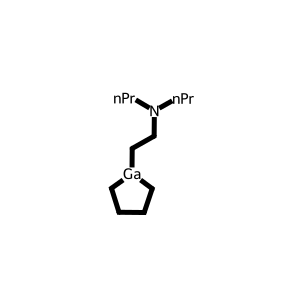 CCCN(CCC)C[CH2][Ga]1[CH2]CC[CH2]1